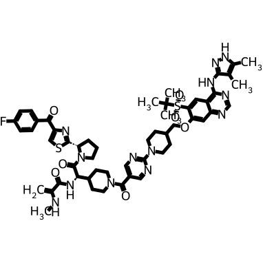 C=C(NC)C(=O)N[C@H](C(=O)N1CCC[C@H]1c1nc(C(=O)c2ccc(F)cc2)cs1)C1CCN(C(=O)c2cnc(N3CCC(COc4cc5ncnc(Nc6n[nH]c(C)c6C)c5cc4S(=O)(=O)C(C)(C)C)CC3)nc2)CC1